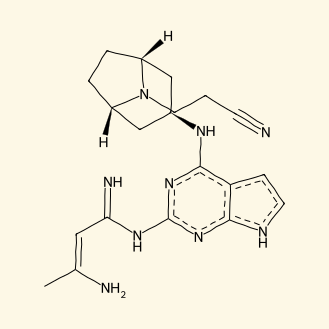 C/C(N)=C/C(=N)Nc1nc(N[C@@H]2C[C@H]3CC[C@@H](C2)N3CCC#N)c2cc[nH]c2n1